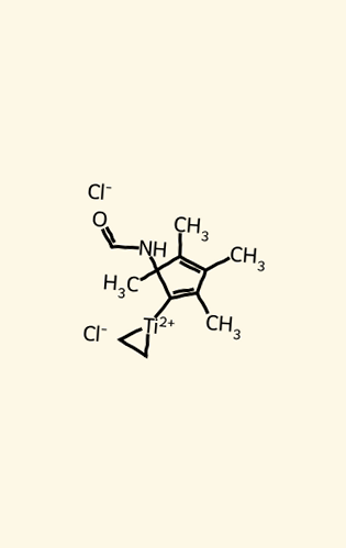 CC1=C(C)C(C)(NC=O)[C]([Ti+2]2[CH2][CH2]2)=C1C.[Cl-].[Cl-]